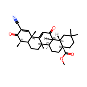 COC(=O)[C@]12CCC(C)(C)C[C@H]1[C@H]1C(=O)C=C3[C@@]4(C)C=C(C#N)C(=O)[C@H](C)C4CC[C@@]3(C)[C@]1(C)CC2